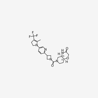 CC1=C(C(F)(F)F)CCN1c1ccc(C2CN(C(=O)N3CC[C@@H]4OCC(=O)N[C@@H]4C3)C2)nc1